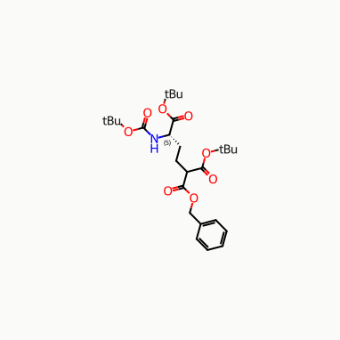 CC(C)(C)OC(=O)N[C@@H](CCC(C(=O)OCc1ccccc1)C(=O)OC(C)(C)C)C(=O)OC(C)(C)C